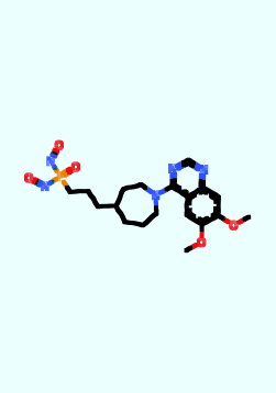 COc1cc2ncnc(N3CCCC(CCCP(=O)(N=O)N=O)CC3)c2cc1OC